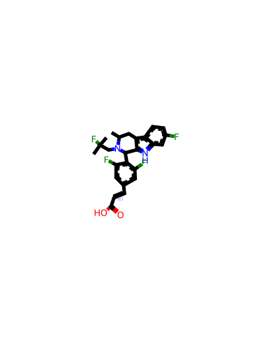 CC1Cc2c([nH]c3cc(F)ccc23)C(c2c(F)cc(/C=C/C(=O)O)cc2F)N1CC(C)(C)F